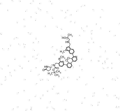 COc1nc(-c2cccc(-c3ccnc(-c4ccc5c(CNC[C@H](C)O)cn(C)c5c4)c3Cl)c2Cl)ccc1CN(C[C@@H]1CCC(=O)N1)C(=O)OC(C)(C)C